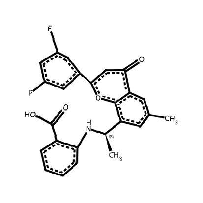 Cc1cc([C@@H](C)Nc2ccccc2C(=O)O)c2oc(-c3cc(F)cc(F)c3)cc(=O)c2c1